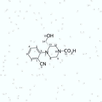 N#Cc1ccccc1N1CCN(C(=O)O)C[C@H]1CO